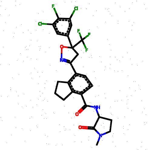 CN1CCC(NC(=O)c2ccc(C3=NOC(c4cc(Cl)c(F)c(Cl)c4)(C(F)(F)F)C3)c3c2CCC3)C1=O